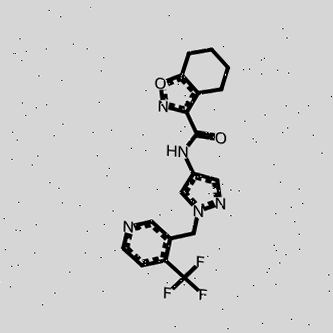 O=C(Nc1cnn(Cc2cnccc2C(F)(F)F)c1)c1noc2c1CCCC2